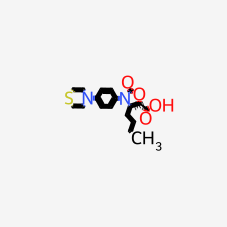 CCCCC1[C@H](C(=O)O)OC(=O)N1c1ccc(N2CCSCC2)cc1